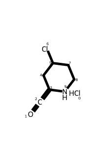 Cl.O=C=C1CC(Cl)CCN1